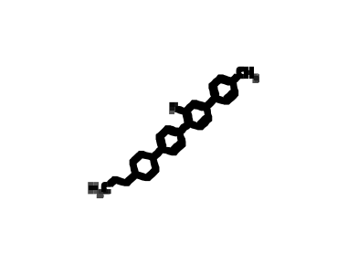 CCCC1CCC(c2ccc(-c3ccc(-c4ccc(C)cc4)cc3F)cc2)CC1